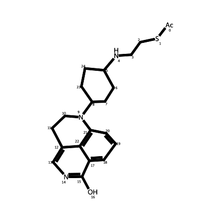 CC(=O)SCCNC1CCC(N2CCc3cnc(O)c4cccc2c34)CC1